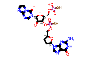 Nc1nc2c(ncn2[C@H]2CC[C@@H](COP(=O)(S)O[C@H]3C(=O)[C@H](n4cnc5nccn5c4=O)O[C@@H]3COP(=O)(O)S)O2)c(=O)[nH]1